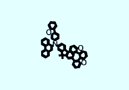 CC1(C)c2cc(-c3cccc4oc5ccc6oc7ccccc7c6c5c34)ccc2-c2ccc(N(c3ccc4c(c3)oc3ccccc34)c3cc4ccccc4c4ccccc34)cc21